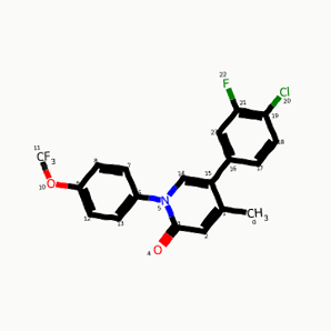 Cc1cc(=O)n(-c2ccc(OC(F)(F)F)cc2)cc1-c1ccc(Cl)c(F)c1